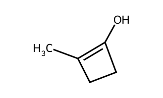 CC1=C(O)CC1